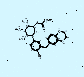 COC(=O)C[C@H]1O[C@@H](c2ccc(Br)c(Cc3ccc4c(c3)OCCO4)c2)[C@H](OC(C)=O)[C@H](OC(C)=O)[C@@H]1OC(C)=O